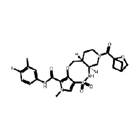 Cc1cc(NC(=O)c2c3c(cn2C)S(=O)(=O)N[C@@H]2CN(C(=O)C45CC(CO4)C5)CC[C@H]2CO3)ccc1F